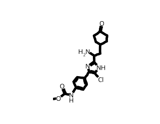 COC(=O)Nc1ccc(-c2nc(C(N)CC3CCC(=O)CC3)[nH]c2Cl)cc1